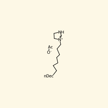 CC(=O)[O-].CCCCCCCCCCCCCCCCC[N+]1=CNCC1